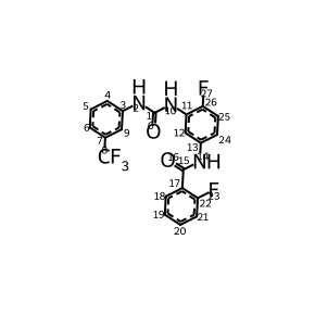 O=C(Nc1cccc(C(F)(F)F)c1)Nc1cc(NC(=O)c2ccccc2F)ccc1F